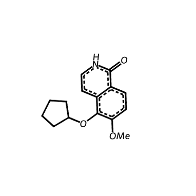 COc1ccc2c(=O)[nH]ccc2c1OC1CCCC1